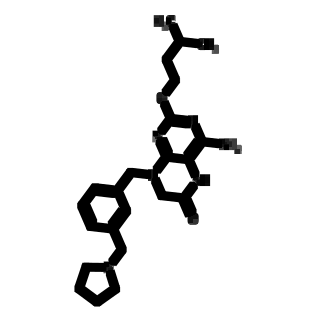 CC(C)CCOc1nc(N)c2c(n1)N(Cc1cccc(CN3CCCC3)c1)CC(=O)N2